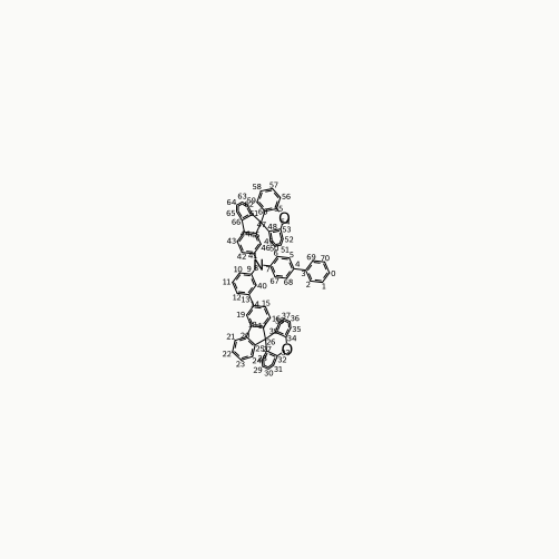 c1ccc(-c2ccc(N(c3cccc(-c4ccc5c(c4)-c4ccccc4C54c5ccccc5Oc5ccccc54)c3)c3ccc4c(c3)C3(c5ccccc5Oc5ccccc53)c3ccccc3-4)cc2)cc1